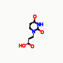 O=C(O)C=Cn1ccc(=O)[nH]c1=O